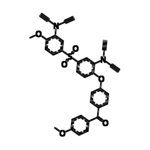 C#CN(C#C)c1cc(S(=O)(=O)c2ccc(Oc3ccc(C(=O)c4ccc(OC)cc4)cc3)c(N(C#C)C#C)c2)ccc1OC